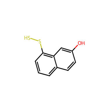 Oc1ccc2cccc(SS)c2c1